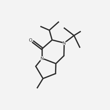 CC1CC2CN(C(C)(C)C)C(C(C)C)C(=O)N2C1